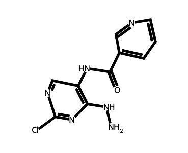 NNc1nc(Cl)ncc1NC(=O)c1cccnc1